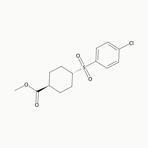 COC(=O)[C@H]1CC[C@H](S(=O)(=O)c2ccc(Cl)cc2)CC1